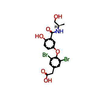 C[C@H](CO)NC(=O)c1cc(Oc2c(Br)cc(CC(=O)O)cc2Br)ccc1O